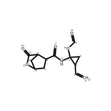 C=CC1CC1(NC(=O)C1CC2CC1C(=O)O2)OC=O